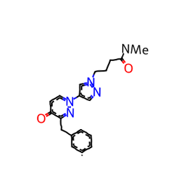 CNC(=O)CCCn1cc(-n2ccc(=O)c(Cc3c[c]ccc3)n2)cn1